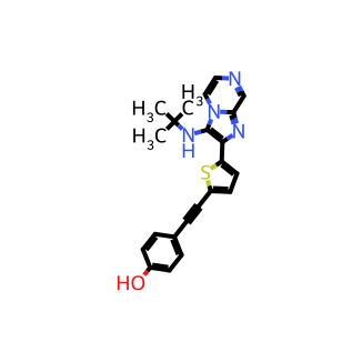 CC(C)(C)Nc1c(-c2ccc(C#Cc3ccc(O)cc3)s2)nc2cnccn12